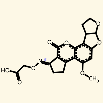 COc1cc2c(c3oc(=O)c4c(c13)CC/C4=N\OCC(=O)O)C1CCOC1O2